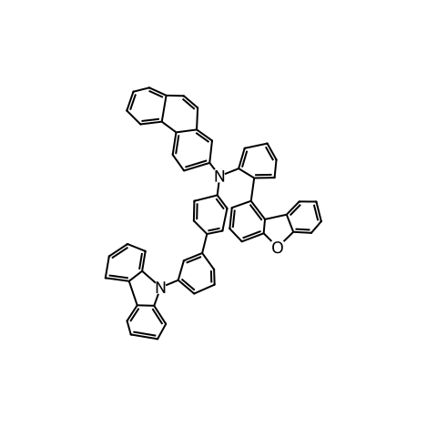 c1cc(-c2ccc(N(c3ccc4c(ccc5ccccc54)c3)c3ccccc3-c3cccc4oc5ccccc5c34)cc2)cc(-n2c3ccccc3c3ccccc32)c1